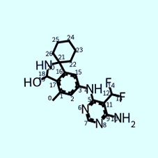 Cc1cc(Nc2ncnc(N)c2C(F)F)cc2c1C(O)NC21CCCCC1